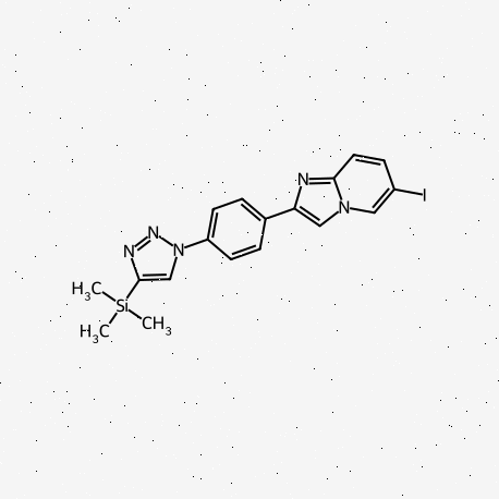 C[Si](C)(C)c1cn(-c2ccc(-c3cn4cc(I)ccc4n3)cc2)nn1